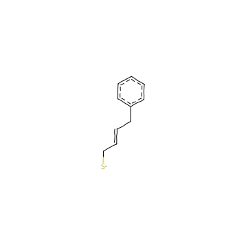 [S]CC=CCc1ccccc1